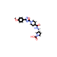 COc1ccc(-c2noc(N3CCC(C(=O)NC[C@@H]4CCN(C(=O)O)C4)CC3)n2)cc1